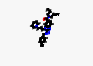 CC(=O)c1ccc(CNc2nc3ccc(C(=O)N(CCC(C)C)CCC(C)C)cc3n2CCCN2CCCCC2)cc1